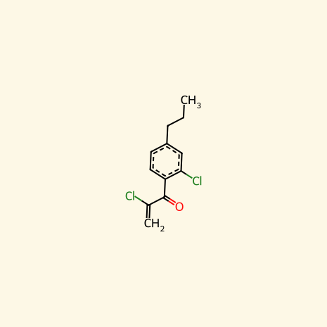 C=C(Cl)C(=O)c1ccc(CCC)cc1Cl